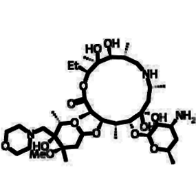 CC[C@@H]1OC(=O)[C@H](C)[C@H](OC2C[C@@](C)(OC)[C@](O)(CN3CCOCC3)[C@H](C)O2)[C@@H](C)[C@@H](O[C@@H]2O[C@H](C)C[C@H](N)[C@H]2O)[C@](C)(O)C[C@@H](C)NC[C@@H](C)[C@H](O)[C@]1(C)O